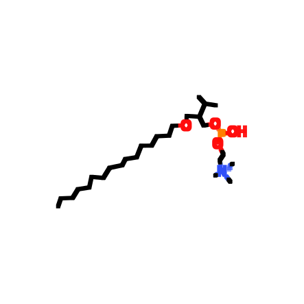 CCCCCCCCCCCCCCCCOCC(COP(O)OCC[N+](C)(C)C)C(C)C